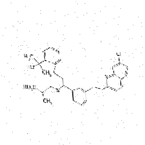 CC(CSC(CCc1ccccc1C(C)(C)O)c1cccc(CCc2ccc3ccc(Cl)cc3n2)c1)C(=O)O